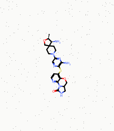 C[C@@H]1OCC2(CCN(c3cnc(Sc4ccnc5c4OCC4CNC(=O)N54)c(N)n3)CC2)[C@@H]1N